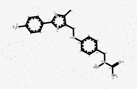 Cc1oc(-c2ccc(C(F)(F)F)cc2)nc1COc1ccc(CN(O)C(N)=O)cc1